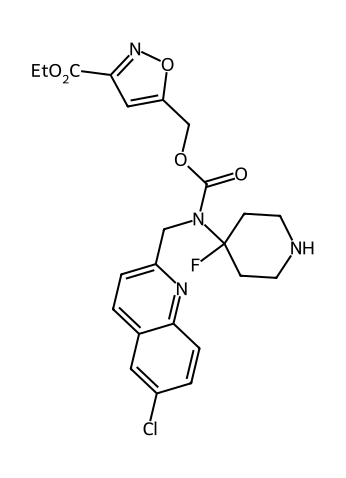 CCOC(=O)c1cc(COC(=O)N(Cc2ccc3cc(Cl)ccc3n2)C2(F)CCNCC2)on1